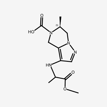 COC(=O)C(C)Nc1cnn2c1CN(C(=O)O)[C@@H](C)C2